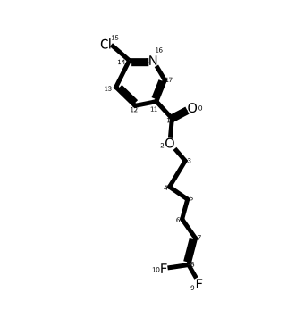 O=C(OCCCCC=C(F)F)c1ccc(Cl)nc1